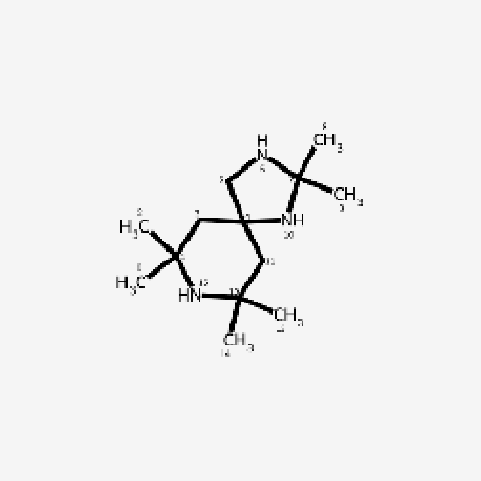 CC1(C)CC2(CNC(C)(C)N2)CC(C)(C)N1